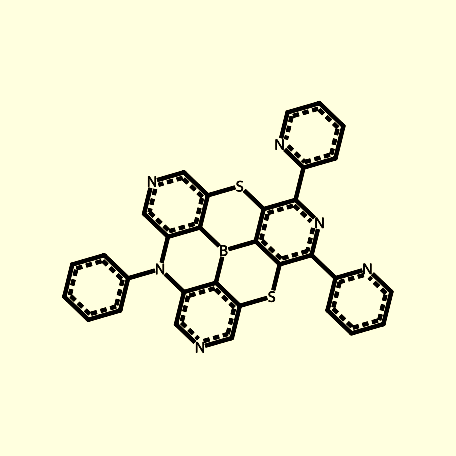 c1ccc(N2c3cncc4c3B3c5c(cncc52)Sc2c(-c5ccccn5)nc(-c5ccccn5)c(c23)S4)cc1